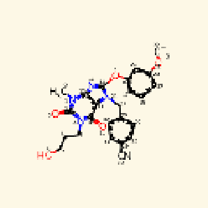 Cn1c(=O)n(CCCO)c(=O)c2c1nc(Oc1cccc(OC(F)(F)F)c1)n2Cc1ccc(C#N)cc1